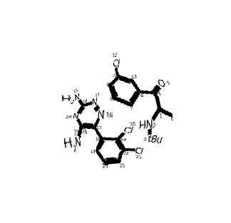 CC(NC(C)(C)C)C(=O)c1cccc(Cl)c1.Nc1nnc(-c2cccc(Cl)c2Cl)c(N)n1